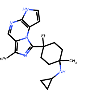 CCCc1nc(C2(CC)CCC(C)(NC3CC3)CC2)n2c1cnc1[nH]ccc12